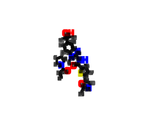 C=CC(=O)N1CCC[C@@H]1Cn1c(NC(=O)c2ccc(-c3cnc(C)o3)s2)nc2cc(C(C)(C)O)ccc21